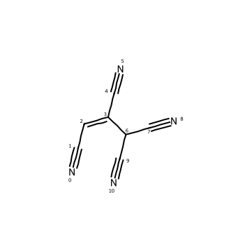 N#C/C=C(/C#N)C(C#N)C#N